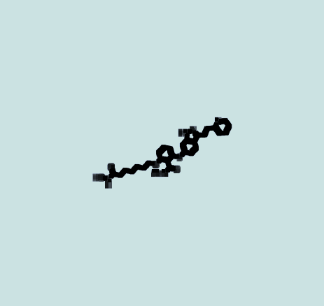 CNC(=O)c1c(OCCCCCCC(=O)NO)cccc1Sc1ccc2c(/C=C/c3ccccn3)n[nH]c2c1